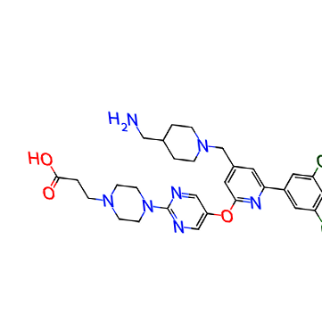 NCC1CCN(Cc2cc(Oc3cnc(N4CCN(CCC(=O)O)CC4)nc3)nc(-c3cc(Cl)cc(Cl)c3)c2)CC1